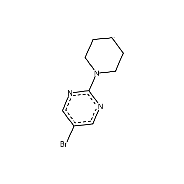 Brc1cnc(N2CC[CH]CC2)nc1